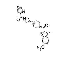 Cc1c(C(=O)N2CCN(C3CN(C(=O)c4cscn4)C3)CC2)sc2cc(C(F)(F)F)ccc12